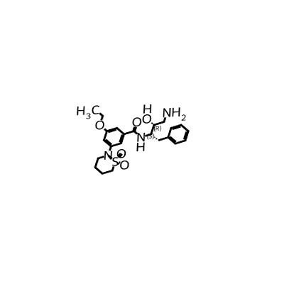 CCOc1cc(C(=O)N[C@@H](Cc2ccccc2)[C@H](O)CN)cc(N2CCCCS2(=O)=O)c1